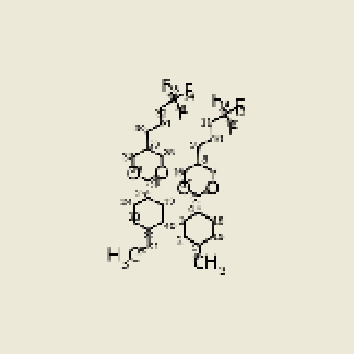 CC1CCC([C@H]2OC[C@H](CCCC(F)(F)F)CO2)CC1.CCC1CCC([C@H]2OC[C@H](CCCC(F)(F)F)CO2)CC1